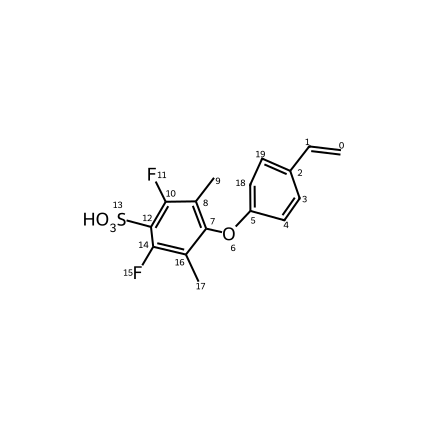 C=Cc1ccc(Oc2c(C)c(F)c(S(=O)(=O)O)c(F)c2C)cc1